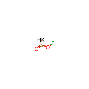 O=[SH]OF.[KH]